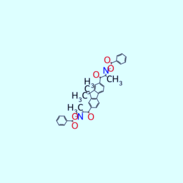 C/C(=N\OC(=O)c1ccccc1)C(=O)c1ccc2c(c1)C(C)(C)c1cc(C(=O)/C(C)=N/OC(=O)c3ccccc3)ccc1-2